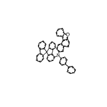 c1ccc(-c2ccc(N(c3ccc4c(ccc5oc6ccccc6c54)c3)c3cccc4c3-c3ccccc3C43c4ccccc4-c4ccccc43)cc2)cc1